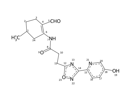 CC1CCC(C=O)=C(NC(=O)CCc2nc(-c3ccc(O)cn3)no2)C1